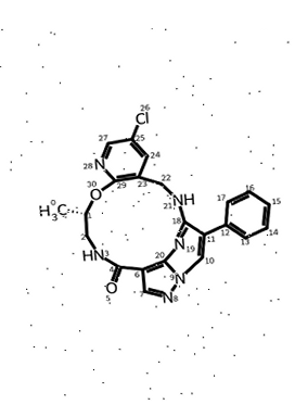 C[C@H]1CNC(=O)c2cnn3cc(-c4ccccc4)c(nc23)NCc2cc(Cl)cnc2O1